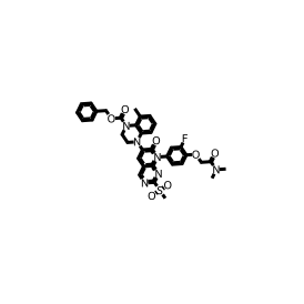 Cc1cccc2c1N(C(=O)OCc1ccccc1)CCN2c1cc2cnc(S(C)(=O)=O)nc2n(-c2ccc(OCC(=O)N(C)C)c(F)c2)c1=O